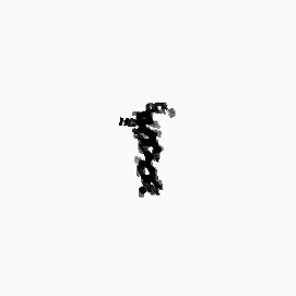 Cn1nnc2cc(-c3ncc4cc(C5(O)CC(OC(F)(F)F)C5)sc4n3)cnc21